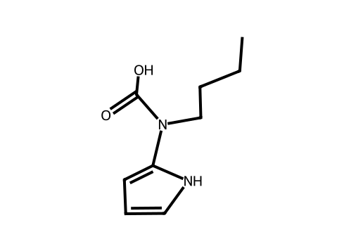 CCCCN(C(=O)O)c1ccc[nH]1